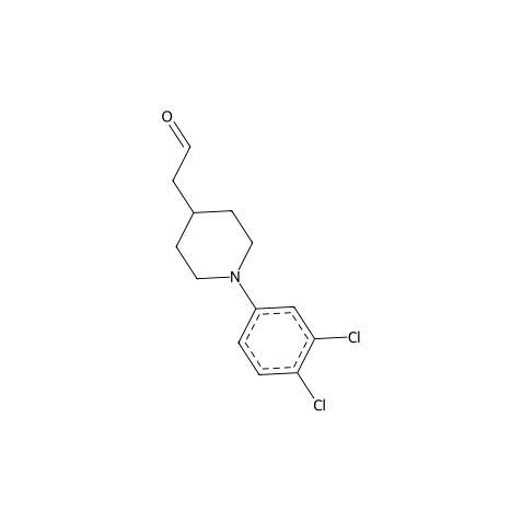 O=CCC1CCN(c2ccc(Cl)c(Cl)c2)CC1